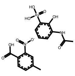 CC(=O)Nc1cccc([As](=O)(O)O)c1O.Cc1ccc(C(=O)O)c([N+](=O)[O-])c1